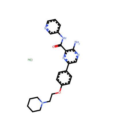 Cl.Nc1ncc(-c2ccc(OCCN3CCCCC3)cc2)nc1C(=O)Nc1cccnc1